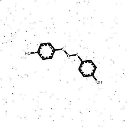 Oc1ccc(SOSc2ccc(O)cc2)cc1